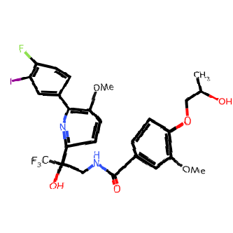 COc1cc(C(=O)NCC(O)(c2ccc(OC)c(-c3ccc(F)c(I)c3)n2)C(F)(F)F)ccc1OCC(C)O